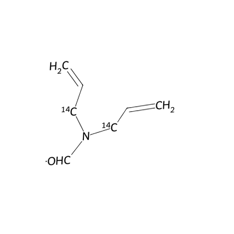 C=C[14CH2]N([C]=O)[14CH2]C=C